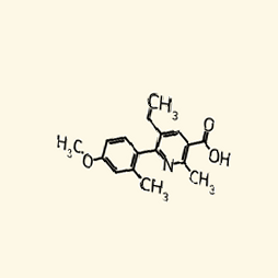 CCc1cc(C(=O)O)c(C)nc1-c1ccc(OC)cc1C